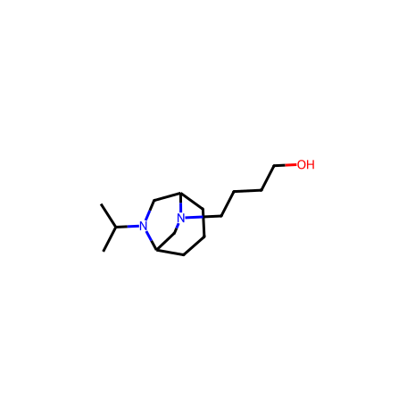 CC(C)N1CC2CCCC1CN2CCCCO